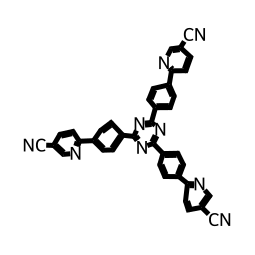 N#Cc1ccc(-c2ccc(-c3nc(-c4ccc(-c5ccc(C#N)cn5)cc4)nc(-c4ccc(-c5ccc(C#N)cn5)cc4)n3)cc2)nc1